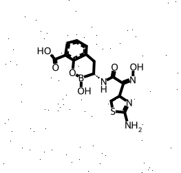 NC1=NC(/C(=N/O)C(=O)N[C@H]2Cc3cccc(C(=O)O)c3OB2O)CS1